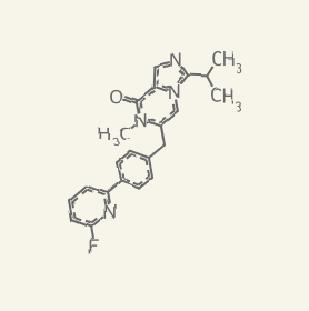 CC(C)c1ncc2c(=O)n(C)c(Cc3ccc(-c4cccc(F)n4)cc3)cn12